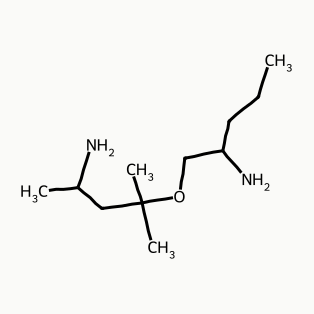 CCCC(N)COC(C)(C)CC(C)N